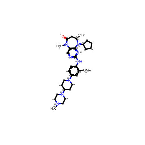 CCC[C@@H]1CC(=O)N(C)c2cnc(Nc3ccc(N4CCC(N5CCN(C)CC5)CC4)cc3OC)nc2N1C1CCCC1